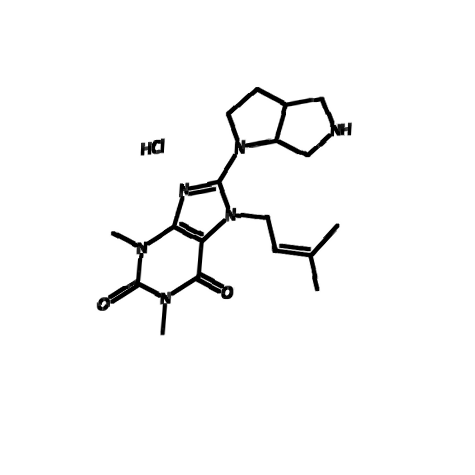 CC(C)=CCn1c(N2CCC3CNCC32)nc2c1c(=O)n(C)c(=O)n2C.Cl